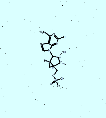 C[C@H]1[C@@H](O)C(n2cnc3c(N)nc(Cl)nc32)[C@H]2C[C@]21COP(=O)(O)O